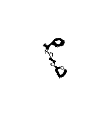 CC(=NOCCOC1CCCCO1)c1ccccc1